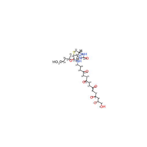 [O]C(CO)CC(=O)CCC(=O)CCC(=O)CCC(=O)CCCNC(=O)[C@@]1(CCCCC(=O)O)SC[C@@H]2NC(=O)N[C@@H]21